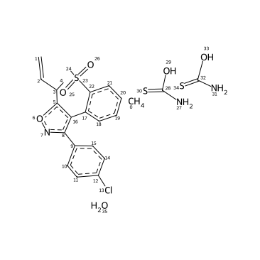 C.C=CC(C)c1onc(-c2ccc(Cl)cc2)c1-c1ccccc1S(C)(=O)=O.NC(O)=S.NC(O)=S.O